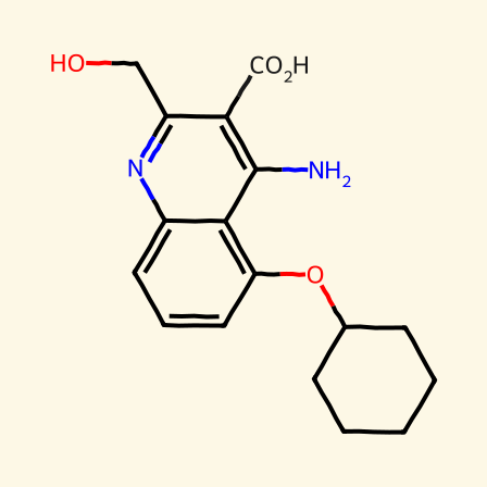 Nc1c(C(=O)O)c(CO)nc2cccc(OC3CCCCC3)c12